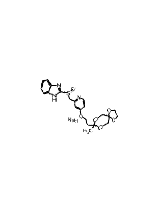 CC1(CCOc2ccnc(C[S+]([O-])c3nc4ccccc4[nH]3)c2)OCC2(CO1)OCCO2.[NaH]